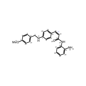 COc1ccc(CNc2ccc(/C=C\C(=O)Nc3ccccc3N)cc2)cc1